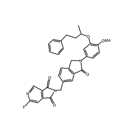 COc1ccc(N2Cc3ccc(CN4C(=O)c5cnc(F)cc5C4=O)cc3C2=O)cc1OC(C)CCc1ccccc1